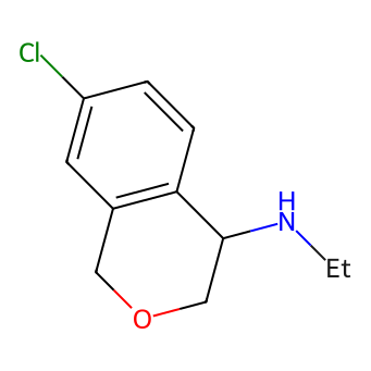 CCNC1COCc2cc(Cl)ccc21